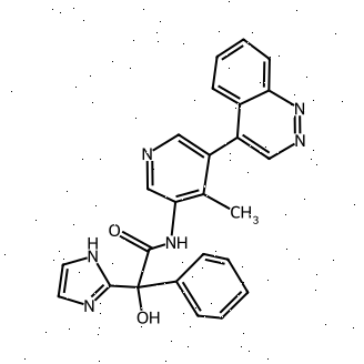 Cc1c(NC(=O)C(O)(c2ccccc2)c2ncc[nH]2)cncc1-c1cnnc2ccccc12